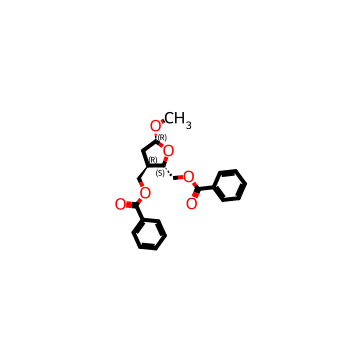 CO[C@H]1C[C@H](COC(=O)c2ccccc2)[C@@H](COC(=O)c2ccccc2)O1